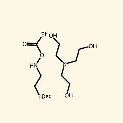 CCCCCCCCCCCCNOC(=O)CC.OCCN(CCO)CCO